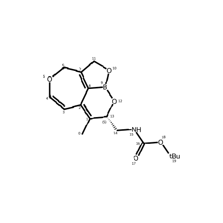 CC1=C2C=COCC3=C2B(OC3)O[C@@H]1CNC(=O)OC(C)(C)C